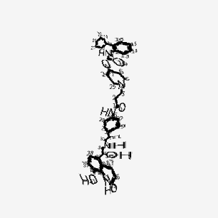 O=C(CCN1CCC(OC(=O)Nc2ccccc2-c2ccccc2)CC1)Nc1ccc(CCNC[C@@H](O)c2ccc(O)c3[nH]c(=O)ccc23)cc1